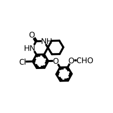 O=COc1ccccc1Oc1ccc(Cl)c2c1C1(CCCCC1)NC(=O)N2